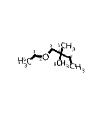 CCOCC(C)(C)CC